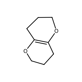 C1COC2=C(C1)OCCC2